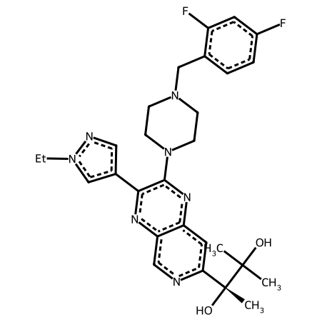 CCn1cc(-c2nc3cnc([C@@](C)(O)C(C)(C)O)cc3nc2N2CCN(Cc3ccc(F)cc3F)CC2)cn1